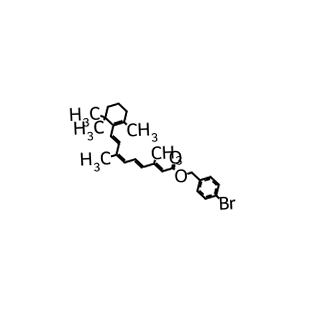 CC1=C(/C=C/C(C)=C\C=C\C(C)=C\C(=O)OCc2ccc(Br)cc2)C(C)(C)CCC1